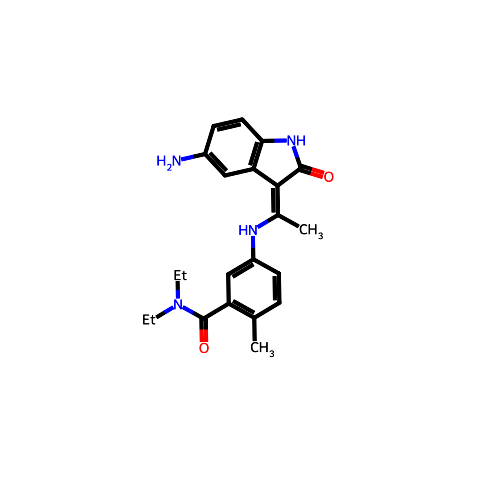 CCN(CC)C(=O)c1cc(NC(C)=C2C(=O)Nc3ccc(N)cc32)ccc1C